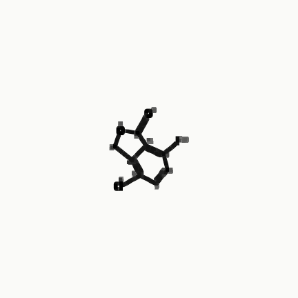 O=C1OCc2c(Cl)ccc(F)c21